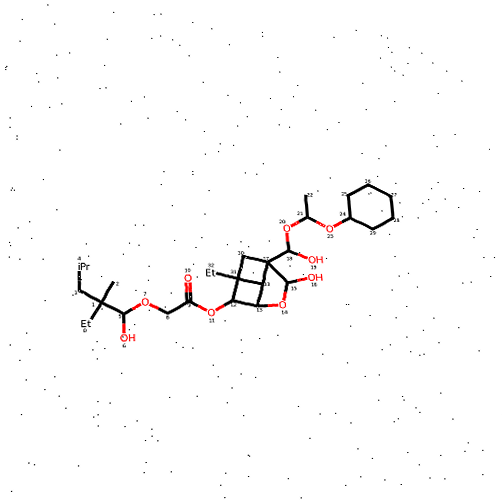 CCC(C)(CC(C)C)C(O)OCC(=O)OC1C2OC(O)C3(C(O)OC(C)OC4CCCCC4)CC1(CC)C23